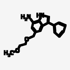 COCCOCc1cc(N)c2[nH]cc(-c3ccccc3)c2c1